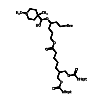 CCCCCCCCCCCCC(CCCOC(=O)CCCCC(COC(=O)CCCCCCC)COC(=O)CCCCCCC)OC(O)C1(C)CCN(C)CC1